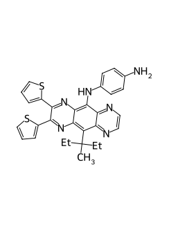 CCC(C)(CC)c1c2nccnc2c(Nc2ccc(N)cc2)c2nc(-c3cccs3)c(-c3cccs3)nc12